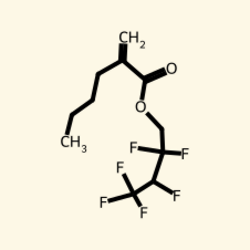 C=C(CCCC)C(=O)OCC(F)(F)C(F)C(F)(F)F